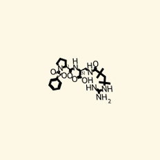 CC(C)(CC(C)(C)C(=O)NC[C@H](NC(=O)[C@@H]1CCCN1S(=O)(=O)c1ccccc1)C(=O)O)NC(=N)N